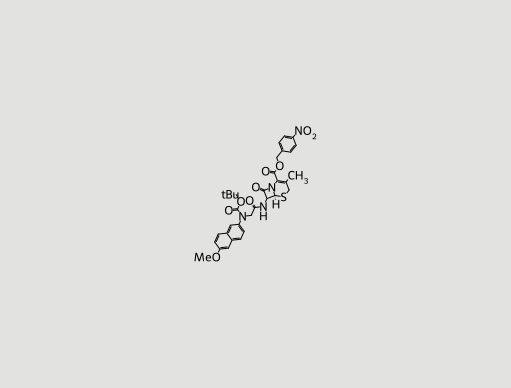 COc1ccc2cc(N(CC(=O)NC3C(=O)N4C(C(=O)OCc5ccc([N+](=O)[O-])cc5)=C(C)CS[C@@H]34)C(=O)OC(C)(C)C)ccc2c1